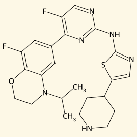 CC(C)N1CCOc2c(F)cc(-c3nc(Nc4ncc(C5CCNCC5)s4)ncc3F)cc21